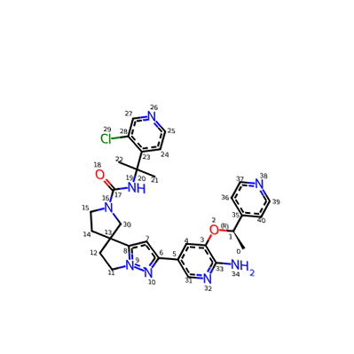 C[C@@H](Oc1cc(-c2cc3n(n2)CCC32CCN(C(=O)NC(C)(C)c3ccncc3Cl)C2)cnc1N)c1ccncc1